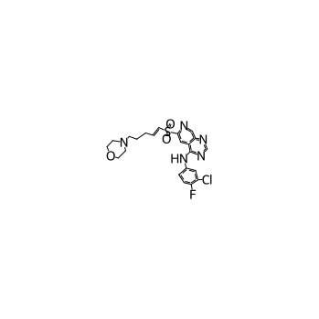 O=S(=O)(/C=C/CCCN1CCOCC1)c1cc2c(Nc3ccc(F)c(Cl)c3)ncnc2cn1